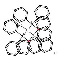 O=[CH][Rh]([PH](c1ccccc1)(c1ccccc1)c1ccccc1)([PH](c1ccccc1)(c1ccccc1)c1ccccc1)[PH](c1ccccc1)(c1ccccc1)c1ccccc1.[H-]